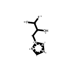 OC(Cn1ncnn1)C(F)F